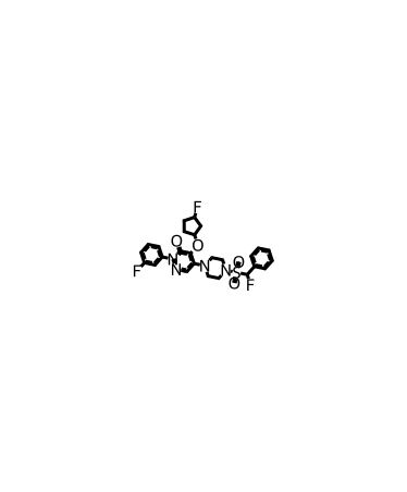 O=c1c(OC2CCC(F)C2)c(N2CCN(S(=O)(=O)C(F)c3ccccc3)CC2)cnn1-c1cccc(F)c1